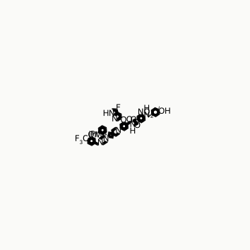 COc1cc(CN2CCN(C3CC4(CCN(c5ccc(C(=O)NS(=O)(=O)c6ccc(NC[C@H]7CC[C@](C)(O)CC7)c([N+](=O)[O-])c6)c(Oc6cnc7[nH]cc(F)c7c6)c5)CC4)C3)[C@H](c3ccccc3C(C)C)C2)ccc1C(F)(F)F